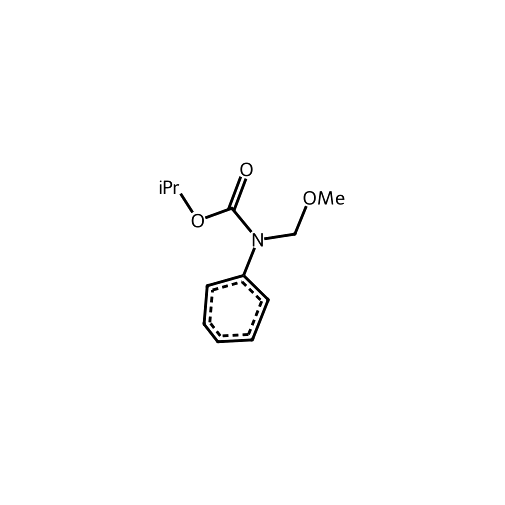 COCN(C(=O)OC(C)C)c1ccccc1